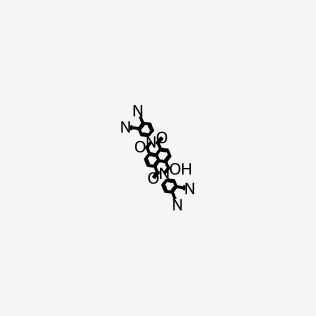 N#Cc1ccc(N2C(=O)c3ccc4c5c(ccc(c35)C2=O)C(O)N(c2ccc(C#N)c(C#N)c2)C4=O)cc1C#N